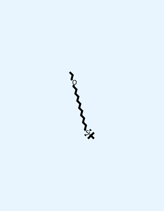 CCCOCCCCCCCCCCCCC[Si](C)(C)C(C)(C)C